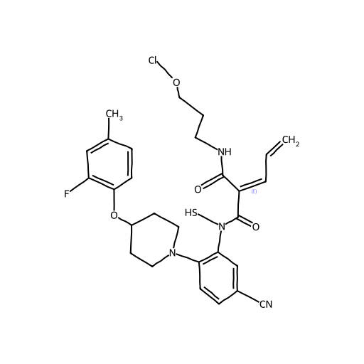 C=C/C=C(\C(=O)NCCCOCl)C(=O)N(S)c1cc(C#N)ccc1N1CCC(Oc2ccc(C)cc2F)CC1